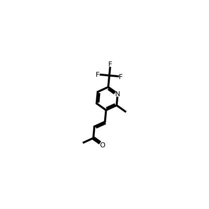 CC(=O)/C=C/c1ccc(C(F)(F)F)nc1C